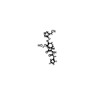 N#CCn1nnnc1SCC1=C(C(=O)O)N2C(=O)C(NC(=O)Cc3cccs3)[C@H]2SC1